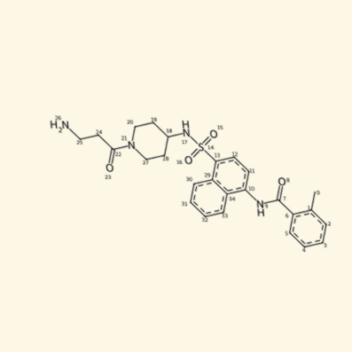 Cc1ccccc1C(=O)Nc1ccc(S(=O)(=O)NC2CCN(C(=O)CCN)CC2)c2ccccc12